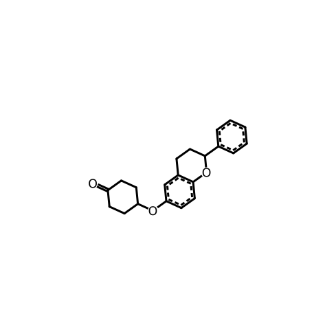 O=C1CCC(Oc2ccc3c(c2)CCC(c2ccccc2)O3)CC1